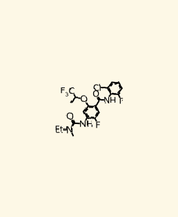 CCN(C)C(=O)Nc1cc(OC(C)C(F)(F)F)c(C(=O)Nc2c(F)cccc2Cl)cc1F